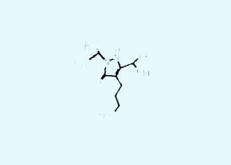 CCCCc1c(C(C)C)[nH]n(C(C)C)c1=O